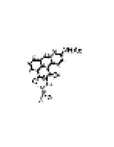 CC(=O)Nc1ccc2c3c4c(cccc4cc2c1)C(=O)N(CCN(C)C)C3=O